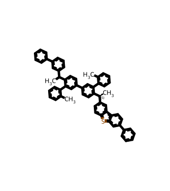 Cc1ccccc1-c1cc(-c2ccc([C@@H](C)c3ccc4sc5cc(-c6ccccc6)ccc5c4c3)c(-c3ccccc3C)c2)ccc1C(C)c1cccc(-c2ccccc2)c1